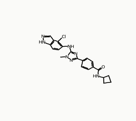 Cn1nc(-c2ccc(C(=O)NC3CCC3)cc2)nc1Nc1ccc2[nH]ncc2c1Cl